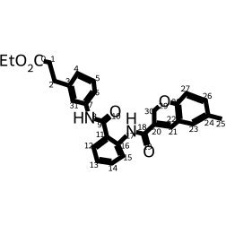 CCOC(=O)CCc1cccc(NC(=O)c2ccccc2NC(=O)C2=Cc3cc(C)ccc3OC2)c1